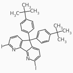 CC(C)(C)c1ccc(C2(c3ccc(C(C)(C)C)cc3)c3ccc(I)nc3-c3nc(I)ccc32)cc1